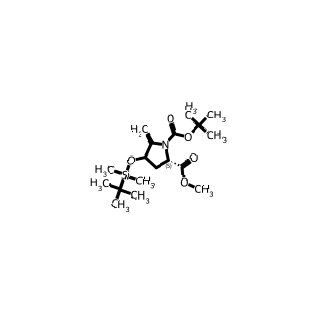 C=C1C(O[Si](C)(C)C(C)(C)C)C[C@@H](C(=O)OC)N1C(=O)OC(C)(C)C